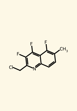 Cc1ccc2nc(CCl)c(F)c(F)c2c1F